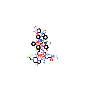 CCCCc1ccc(C[C@H](NC(=O)[C@H](CCC(N)=O)NC(=O)[C@@H]2CC[C@@H]3CCN(CC(F)F)C[C@H](NC(=O)c4cc5cc(C(F)(F)P(=O)(Oc6ccccc6)Oc6ccccc6)ccc5s4)C(=O)N32)C(=O)N2CCN(CCNc3cccc4c3CN(C3CCC(=O)NC3=O)C4=O)CC2)cc1